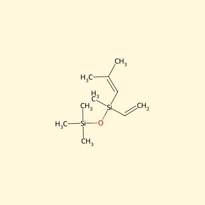 C=C[Si](C)(C=C(C)C)O[Si](C)(C)C